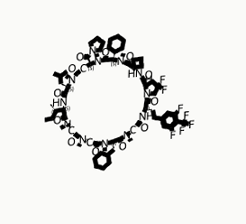 CC[C@H](C)[C@@H]1NC(=O)[C@H](CC(C)C)N(C)C(=O)C[C@@H](C(=O)N2CCCC2)N(C)C(=O)[C@H](C2CCCCC2)N(C)C(=O)C2(CCC2)NC(=O)[C@@H]2CC(F)(F)CN2C(=O)[C@H](CCc2cc(F)c(C(F)(F)F)c(F)c2)NC(=O)CN(C)C(=O)[C@H](CC2CCCCC2)N(C)C(=O)CN(C)C(=O)CN(C)C1=O